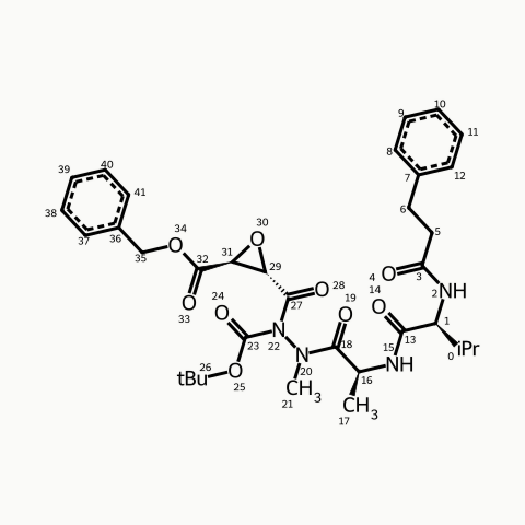 CC(C)[C@H](NC(=O)CCc1ccccc1)C(=O)N[C@@H](C)C(=O)N(C)N(C(=O)OC(C)(C)C)C(=O)[C@H]1O[C@@H]1C(=O)OCc1ccccc1